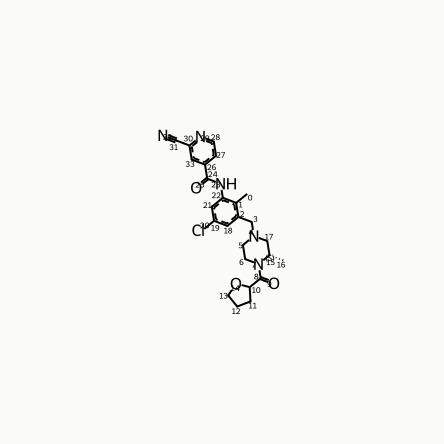 Cc1c(CN2CCN(C(=O)C3CCCO3)[C@@H](C)C2)cc(Cl)cc1NC(=O)c1ccnc(C#N)c1